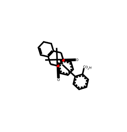 O=C(O)c1ccccc1N1C(=O)C2C3C4=C(CCC=C4)C(c4ccccc43)C2C1=O